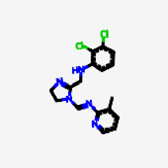 Cc1cccnc1N=CN1CCN=C1CNc1cccc(Cl)c1Cl